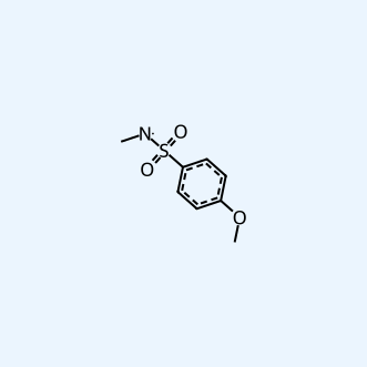 C[N]S(=O)(=O)c1ccc(OC)cc1